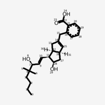 CCCCC(C)(C)[C@@H](O)/C=C/[C@H]1[C@H]2CC(Cc3ccccc3C(=O)O)=C[C@H]2C[C@H]1O